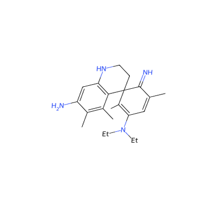 CCN(CC)C1=C(C)C2(CCNc3cc(N)c(C)c(C)c32)C(=N)C(C)=C1